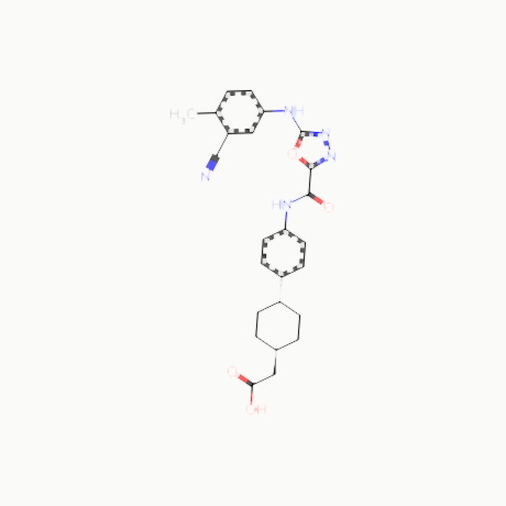 Cc1ccc(Nc2nnc(C(=O)Nc3ccc([C@H]4CC[C@H](CC(=O)O)CC4)cc3)o2)cc1C#N